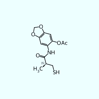 CC(=O)Oc1cc2c(cc1NC(=O)[C@H](C)CS)OCO2